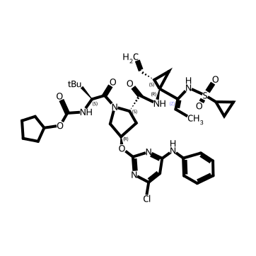 C=C[C@@H]1C[C@]1(NC(=O)[C@@H]1C[C@@H](Oc2nc(Cl)cc(Nc3ccccc3)n2)CN1C(=O)[C@@H](NC(=O)OC1CCCC1)C(C)(C)C)/C(=C/C)NS(=O)(=O)C1CC1